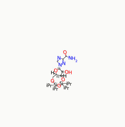 CC(C)[Si]1(C(C)C)OC[C@@H]2O[C@H](n3cnc(C(N)=O)n3)[C@H](O)[C@@H]2O[Si](C(C)C)(C(C)C)O1